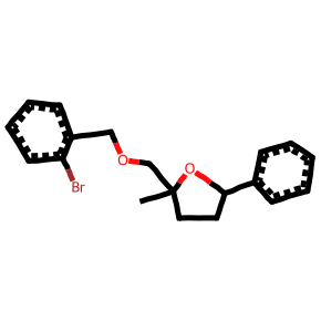 CC1(COCc2ccccc2Br)CCC(c2ccccc2)O1